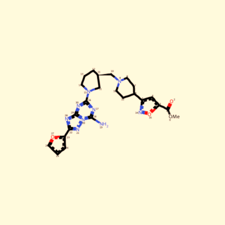 COC(=O)c1cc(C2CCN(C[C@@H]3CCCN(c4nc(N)n5nc(-c6ccco6)nc5n4)C3)CC2)no1